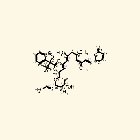 C/C=C/[C@@H]1O[C@H]([C@@H](/C=C/C=C(\C)C[C@@H](C)/C=C(C)\C=C\[C@H]2CC=CC(=O)O2)NC(=O)C(OC)(c2ccccc2)C(F)(F)F)C[C@@H](O)[C@@H]1C